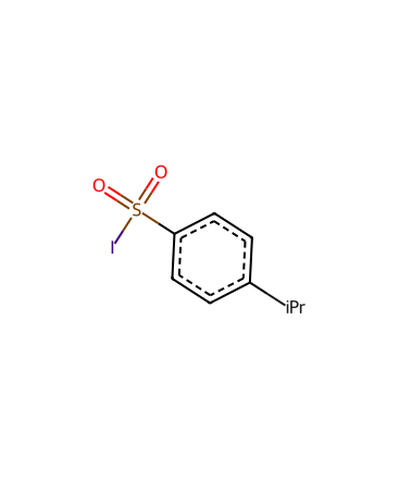 CC(C)c1ccc(S(=O)(=O)I)cc1